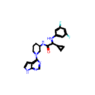 O=C(NC1CCCN(c2ncnc3[nH]ccc23)C1)C(Nc1cc(F)cc(F)c1)C1CC1